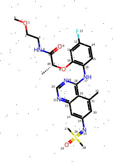 COCCNC(=O)[C@@H](C)Oc1cc(F)ccc1Nc1ncnc2cc(N=S(C)(C)=O)cc(C)c12